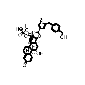 Cn1cc([C@@H]2O[C@@H]3C[C@H]4[C@@H]5CCC6=CC(=O)C=C[C@]6(C)[C@@]5(F)[C@@H](O)C[C@]4(C)[C@]3(C(=O)COP(=O)(O)O)O2)cc1Cc1ccc(CO)cc1